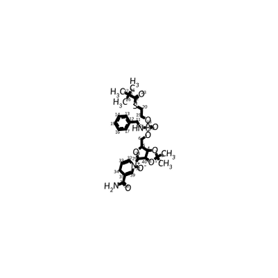 CC1(C)OC2C(COP(=O)(NCc3ccccc3)OCCSC(=O)C(C)(C)C)OC([N+]3([O-])C=CCC(C(N)=O)=C3)C2O1